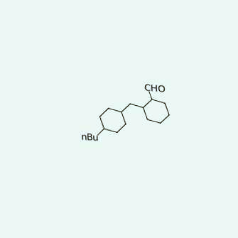 CCCCC1CCC(CC2CCCCC2C=O)CC1